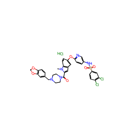 Cl.Cn1c(C(=O)N2CCN(Cc3ccc4c(c3)OCO4)CC2)cc2cc(Oc3ccc(NS(=O)(=O)c4ccc(Cl)c(Cl)c4)cn3)ccc21